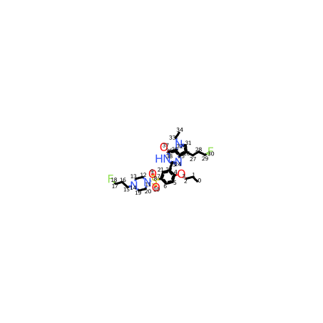 CCCOc1ccc(S(=O)(=O)N2CCN(CCCF)CC2)cc1-c1nc2c(CCCF)cn(CC)c2c(=O)[nH]1